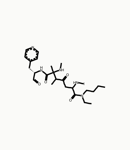 CCCCN(CC)C(=O)C(CC(=O)C(C)C(C)(NC)C(=O)N[C@H](C=O)Cc1ccncc1)NI